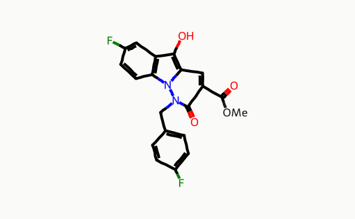 COC(=O)c1cc2c(O)c3cc(F)ccc3n2n(Cc2ccc(F)cc2)c1=O